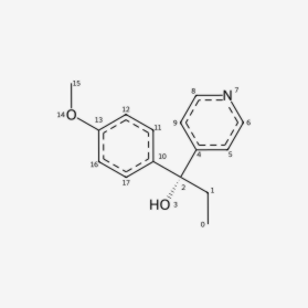 CC[C@](O)(c1ccncc1)c1ccc(OC)cc1